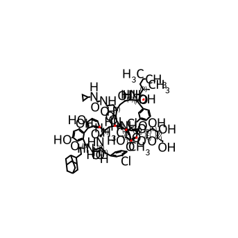 CC[C@H](CC(C)C)C(=O)N[C@H]1C(=O)C[C@@H](CC(=O)NC(=O)NC2CC2)C(=O)N[C@H]2C(=O)C[C@H]3C(=O)N[C@H](C(=O)N[C@H](C(=O)CC4C5CC6CC(C5)CC4C6)c4cc(O)cc(O)c4-c4cc3ccc4O)[C@H](O)c3ccc(c(Cl)c3)Oc3cc2cc(c3O[C@@H]2O[C@H](CO)[C@@H](O)[C@H](O)[C@H]2O[C@H]2C[C@](C)(N)[C@H](O)[C@H](C)O2)Oc2ccc(cc2Cl)[C@H]1O